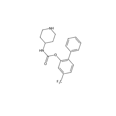 O=C(NC1CCNCC1)Oc1cc(C(F)(F)F)ccc1-c1ccccc1